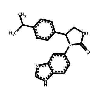 CC(C)c1ccc(C2CNC(=O)N2c2ccc3[nH]cnc3c2)cc1